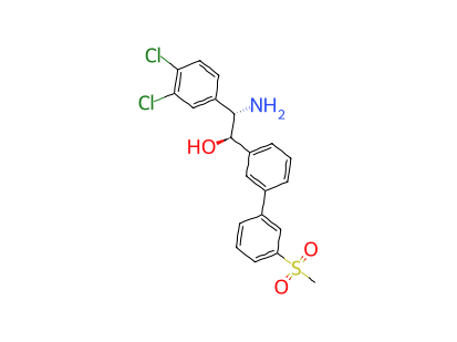 CS(=O)(=O)c1cccc(-c2cccc([C@@H](O)[C@@H](N)c3ccc(Cl)c(Cl)c3)c2)c1